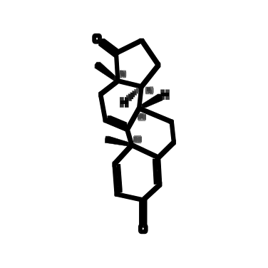 C[C@]12C=CC(=O)C=C1CC[C@@H]1C2=CC[C@]2(C)C(=O)CC[C@@H]12